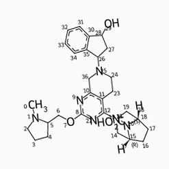 CN1CCCC1COc1nc2c(c(N3C[C@H]4CC[C@@H](C3)N4C(=O)O)n1)CCN(C1CC(O)c3ccccc31)C2